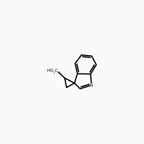 O=C(O)C1CC12C=Nc1ccccc12